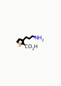 NCCCc1ccsc1C(=O)O